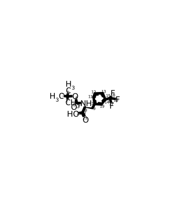 CC(C)(C)OC(=O)N[C@@H](Cc1cccc(C(F)(F)F)c1)C(=O)O